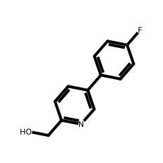 OCc1ccc(-c2ccc(F)cc2)cn1